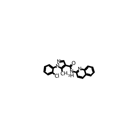 Cc1c(C(=O)Nc2ccc3ccccc3n2)cnn1-c1ccccc1Cl